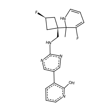 CC1([C@]2(CNc3ncc(-c4cccnc4O)cn3)C[C@@H](F)C2)NC=CC=C1F